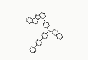 c1ccc(-c2ccc(-c3ccc(N(c4ccc(-c5cccc6oc7c8ccccc8ccc7c56)cc4)c4ccc5ccccc5c4)cc3)cc2)cc1